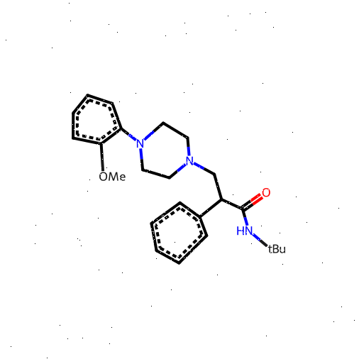 COc1ccccc1N1CCN(CC(C(=O)NC(C)(C)C)c2ccccc2)CC1